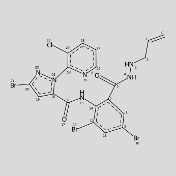 C=CCNNC(=O)c1cc(Br)cc(Br)c1NC(=O)c1cc(Br)nn1-c1ncccc1Cl